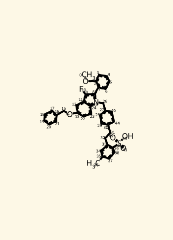 COc1ccccc1-c1c(F)c2cc(OCc3ccccc3)ccc2n1Cc1ccc(CCc2cc(C)ccc2S(=O)(=O)O)cc1